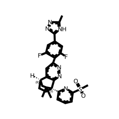 Cc1nnc(-c2cc(F)c(-c3cc4c(nn3)[C@@]3(c5cccc(S(C)(=O)=O)n5)CC[C@@H]4CC3(C)C)c(F)c2)[nH]1